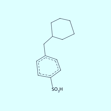 O=S(=O)(O)c1ccc(CC2CCCCC2)cc1